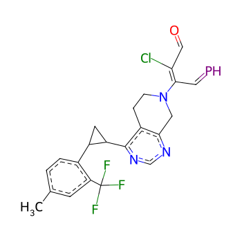 Cc1ccc(C2CC2c2ncnc3c2CCN(/C(C=P)=C(\Cl)C=O)C3)c(C(F)(F)F)c1